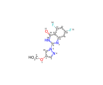 O=C(O)Oc1cnn(-c2nc3cc(F)cc(F)c3c(=O)[nH]2)c1